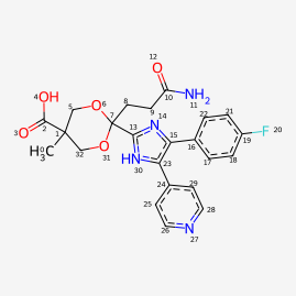 CC1(C(=O)O)COC(CCC(N)=O)(c2nc(-c3ccc(F)cc3)c(-c3ccncc3)[nH]2)OC1